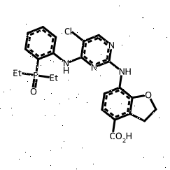 CCP(=O)(CC)c1ccccc1Nc1nc(Nc2ccc(C(=O)O)c3c2OCC3)ncc1Cl